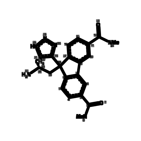 CNC(=O)c1ccc2c(c1)-c1cc(C(=O)NC)ccc1C2(C[C@@H](C)N)c1nn[nH]n1